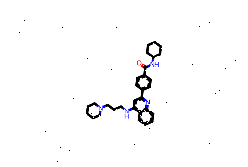 O=C(NC1CCCCC1)c1ccc(-c2cc(NCCCN3CCCCC3)c3ccccc3n2)cc1